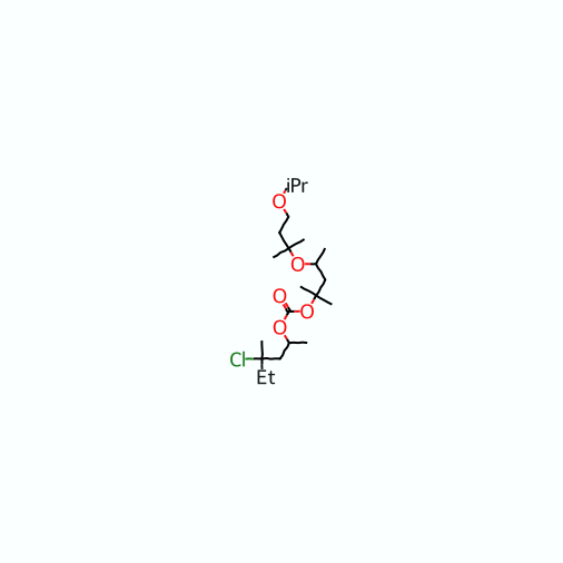 CCC(C)(Cl)CC(C)OC(=O)OC(C)(C)CC(C)OC(C)(C)CCOC(C)C